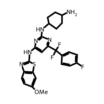 COc1ccc2nc(Nc3cc(C(F)(F)c4ccc(F)cc4)nc(NC4CCC(N)CC4)n3)sc2c1